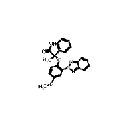 COc1ccc(OC(C)(C(=O)O)c2ccccc2)c(-n2nc3ccccc3n2)c1